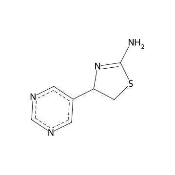 NC1=NC(c2cncnc2)CS1